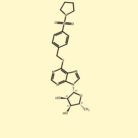 C[C@H]1O[C@@H](n2cnc3c(SCc4ccc(S(=O)(=O)N5CCCC5)cc4)ncnc32)[C@H](O)[C@@H]1O